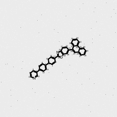 C1=CC(c2ccc(-c3cccnc3)cc2)CC=C1c1nc2ccc(-c3cc4ccccc4c4ccccc34)cc2o1